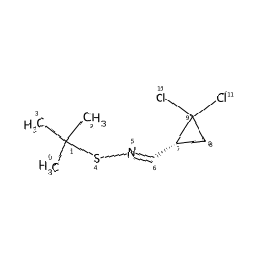 CC(C)(C)SN=C[C@H]1CC1(Cl)Cl